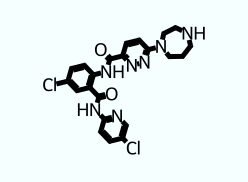 O=C(Nc1ccc(Cl)cc1C(=O)Nc1ccc(Cl)cn1)c1ccc(N2CCCNCC2)nn1